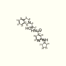 O=C(NC[C@H](O)CN1CCc2ccccc2C1)c1ccnc(NC2CCCC2)c1